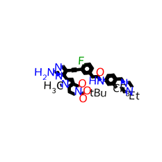 CCN1CCN(Cc2ccc(NC(=O)Cc3ccc(F)c(C#Cc4cnc(N)nc4-c4cc5c(n4C)CCN(C(=O)OC(C)(C)C)C5=O)c3)cc2C(F)(F)F)CC1